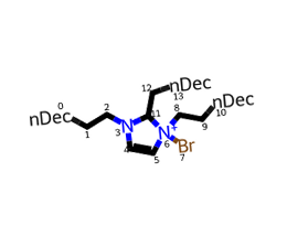 CCCCCCCCCCCCN1C=C[N+](Br)(CCCCCCCCCCCC)C1CCCCCCCCCCC